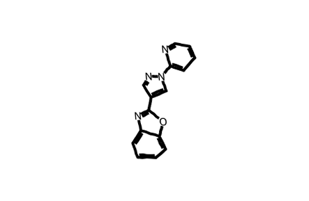 c1ccc(-n2cc(-c3nc4ccccc4o3)cn2)nc1